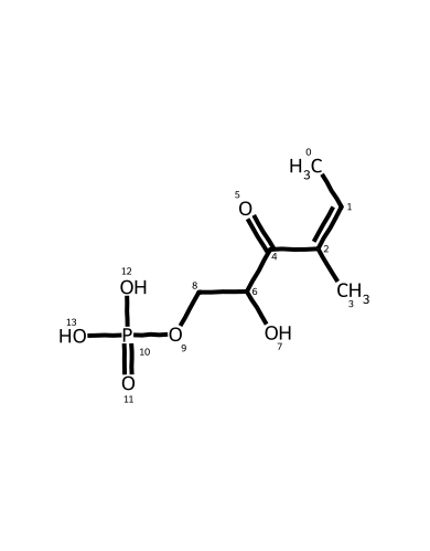 CC=C(C)C(=O)C(O)COP(=O)(O)O